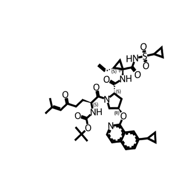 C=C[C@@H]1C[C@]1(NC(=O)[C@@H]1C[C@@H](Oc2nccc3ccc(C4CC4)cc23)CN1C(=O)[C@H](CCC(=O)C=C(C)C)NC(=O)OC(C)(C)C)C(=O)NS(=O)(=O)C1CC1